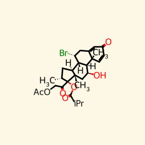 CC(=O)OCC(=O)[C@]1(OC(=O)C(C)C)[C@H](C)C[C@H]2[C@H]3[C@H]([C@@H](O)C[C@@]21C)[C@@]1(C)C=CC(=O)C=C1C[C@H]3Br